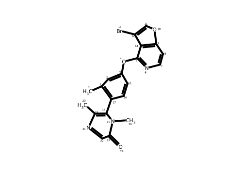 Cc1cc(Oc2nccc3occ(Br)c23)ccc1-c1c(C)ncc(=O)n1C